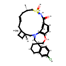 C[C@H]1C/C=C/C[C@@H]2CC[C@H]2CN2C[C@@]3(CCCc4cc(Cl)ccc43)COc3ccc(cc32)C(=O)/N=[SH](=O)\C1